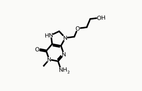 Cn1c(N)nc2c(c1=O)NCN2COCCO